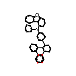 c1ccc(-c2ccccc2-c2c(-c3ccccc3)cccc2-c2ccc(N(c3ccccc3)c3cccc4oc5ccccc5c34)cc2)cc1